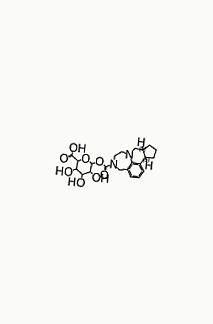 O=C(O)C1OC(OC(=O)N2CCN3C[C@@H]4CCC[C@@H]4c4cccc(c43)C2)C(O)C(O)C1O